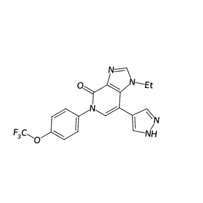 CCn1cnc2c(=O)n(-c3ccc(OC(F)(F)F)cc3)cc(-c3cn[nH]c3)c21